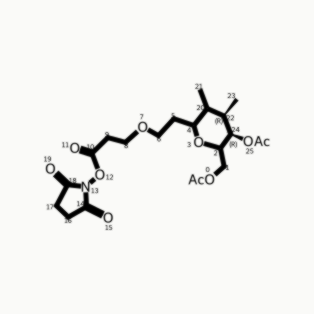 CC(=O)OCC1OC(CCOCCC(=O)ON2C(=O)CCC2=O)C(C)[C@@H](C)[C@H]1OC(C)=O